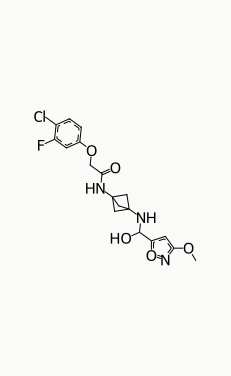 COc1cc(C(O)NC23CC(NC(=O)COc4ccc(Cl)c(F)c4)(C2)C3)on1